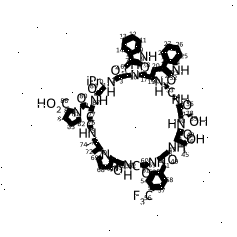 CC(C)[C@@H]1NC(=O)[C@H](Cc2c[nH]c3ccccc23)NC(=O)C(Cc2c[nH]c3ccccc23)NC(=O)CNC(=O)[C@H](CO)NC(=O)[C@H]([C@@H](C)O)NC(=O)[C@H](Cc2ccc(C(F)(F)F)cc2)NC(=O)CNC(=O)[C@@H]2CCCN2C(C)[C@H](C)NCC[C@@H](C(=O)N2CCC[C@H]2C(=O)O)NC1=O